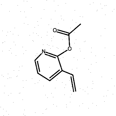 C=Cc1cccnc1OC(C)=O